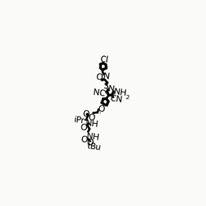 CC(C)[C@H](NC(=O)CCNC(=O)OC(C)(C)C)C(=O)OC[CH]COc1ccc(-c2c(C#N)c(N)nc(SCc3coc(-c4ccc(Cl)cc4)n3)c2C#N)cc1